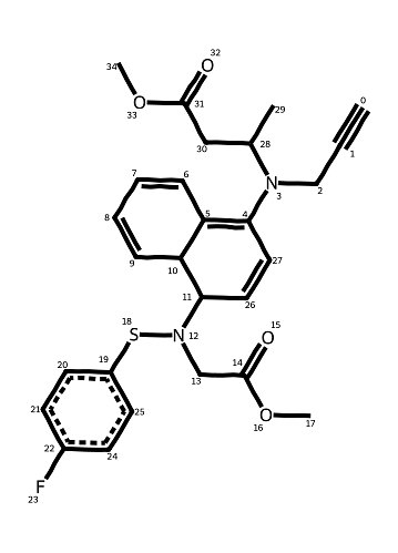 C#CCN(C1=C2C=CC=CC2C(N(CC(=O)OC)Sc2ccc(F)cc2)C=C1)C(C)CC(=O)OC